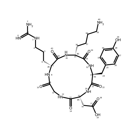 N=C(N)NCCC[C@H]1NC(=O)CNC(=O)[C@@H](CC(=O)O)NC(=O)[C@H](Cc2ccc(O)cc2)NC(=O)[C@@H](CCCCN)NC1=O